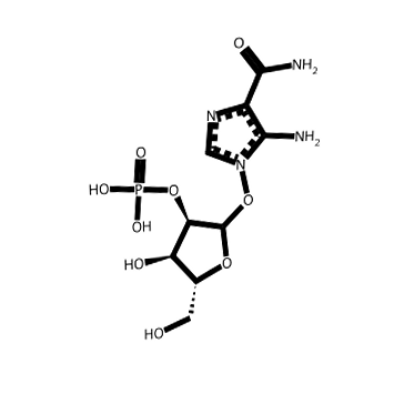 NC(=O)c1ncn(OC2O[C@H](CO)[C@@H](O)[C@H]2OP(=O)(O)O)c1N